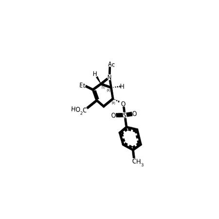 CCC1=C(C(=O)O)C[C@@H](OS(=O)(=O)c2ccc(C)cc2)[C@H]2[C@H]1N2C(C)=O